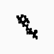 C=CC(=O)NCCCCC(C=C(C)C)=C(C)C